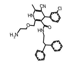 CC1=C(C#N)C(c2cccc(Cl)c2)C(C(=O)NCCC(c2ccccc2)c2ccccc2)=C(COCCN)N1